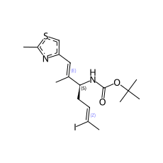 C/C(I)=C/C[C@H](NC(=O)OC(C)(C)C)/C(C)=C/c1csc(C)n1